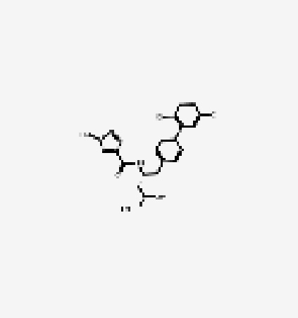 CCOC(=O)[C@H](O)C[C@@H](Cc1ccc(-c2cc(Cl)ccc2Cl)cc1)NC(=O)c1cn(O)nn1